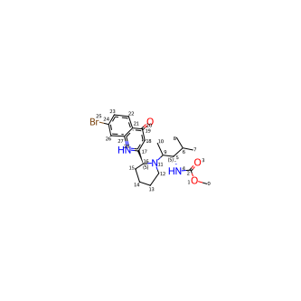 COC(=O)N[C@@H](C(C)C)C(C)N1CCCC[C@H]1c1cc(=O)c2ccc(Br)cc2[nH]1